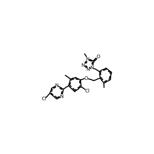 Cc1cc(OCc2c(C)cccc2-n2nnn(C)c2=O)c(Cl)cc1-c1ncc(Cl)cn1